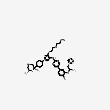 COCCOCCOc1nn(C2CCC([C@@]3(C)CNC[C@@H](C)O3)CC2)cc1Nc1ncc(-c2ccc(Cl)c(OC(C)Cn3cnnn3)c2)cn1